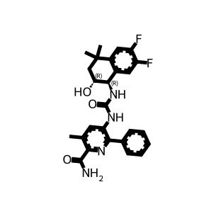 Cc1cc(NC(=O)N[C@@H]2c3cc(F)c(F)cc3C(C)(C)C[C@H]2O)c(-c2ccccc2)nc1C(N)=O